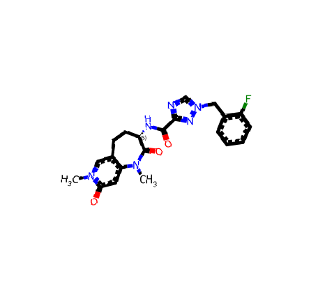 CN1C(=O)[C@@H](NC(=O)c2ncn(Cc3ccccc3F)n2)CCc2cn(C)c(=O)cc21